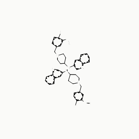 CCOc1cc(CN2CCC(N(c3cnc4ccccc4c3)N(c3cnc4ccccc4c3)C3CCN(Cc4ccc(Cl)c(OCC)c4)CC3)CC2)ccc1F